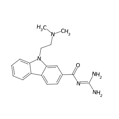 CN(C)CCn1c2ccccc2c2ccc(C(=O)N=C(N)N)cc21